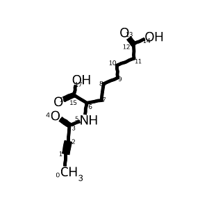 CC#CC(=O)NC(CCCCCC(=O)O)C(=O)O